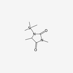 CC1C(=O)N(C)C(=O)N1[Si](C)(C)C